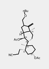 C=C1C(COCCCC)C[C@H]2[C@H](OC(C)=O)[C@@H]([C@@]3(C)CC[C@H](OC(C)=O)C[C@@H]3CCC#N)CC[C@]12C